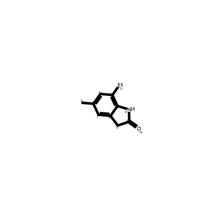 CCc1cc(C)cc2c1NC(=O)C2